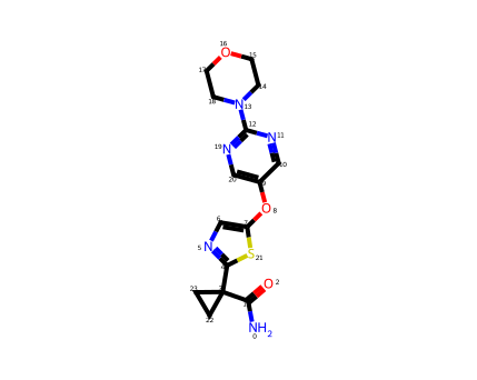 NC(=O)C1(c2ncc(Oc3cnc(N4CCOCC4)nc3)s2)CC1